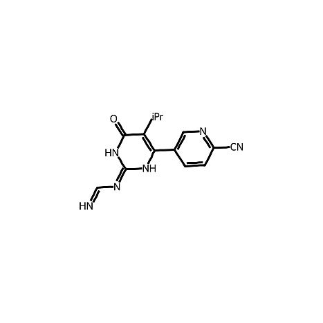 CC(C)c1c(-c2ccc(C#N)nc2)[nH]/c(=N/C=N)[nH]c1=O